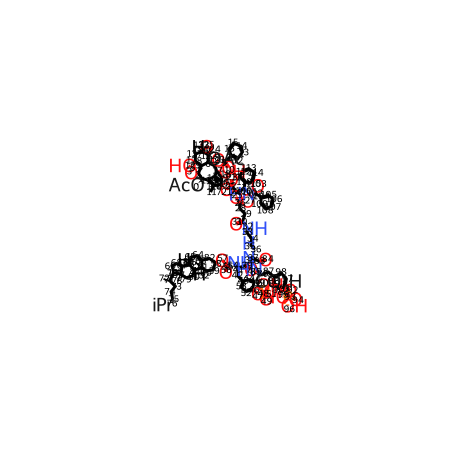 CC(=O)O[C@@H]1C(=O)[C@]2(C)C([C@@H](OC(=O)c3ccccc3)[C@]3(O)C[C@@H](OC(=O)[C@@H](OC(=O)CCC(=O)NCCCC[C@@H](NC(=O)[C@@H](Cc4ccc(OP(=O)(O)O)cc4)NC(=O)O[C@H]4CC[C@@]5(C)C(=CC[C@H]6[C@@H]7CC[C@H]([C@H](C)CCCC(C)C)[C@@]7(C)CC[C@@H]65)C4)C(=O)N[C@H](Cc4ccc(OP(=O)(O)O)cc4)C(=O)O)[C@H](NC(=O)c4ccccc4)c4ccccc4)C(C)=C1C3(C)C)[C@@]1(OC(C)=O)CO[C@H]1C[C@H]2O